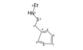 CCNSCc1ccccc1